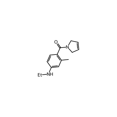 CCNc1ccc(C(=O)N2CC=CC2)c(C)c1